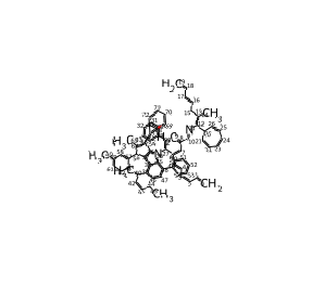 C=C\C=C/C=C/C(=C/C(=C)/C=N/C(=C(/C)C/C=C/C=C)C1C=CC=CC=C1)C(=C/c1ccccc1)/n1c2c(c3c(C(C)/C=C\CC)ccc(-c4ccccc4)c31)C(C1=CC(C)=CCC1)C(C)=C2C1=C2C=CC=CC21